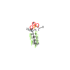 CCOP(=O)(CCC(F)(F)C(F)(F)C(F)(F)C(F)(F)F)OCC